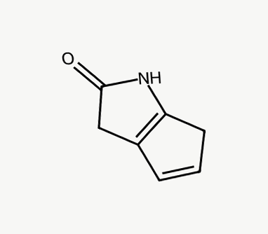 O=C1CC2=C(CC=C2)N1